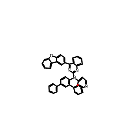 c1ccc(-c2ccc(N(c3ccncc3)c3nc(-c4ccc5oc6ccccc6c5c4)c4ccccc4n3)c(-c3ccccc3)c2)cc1